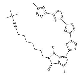 Cc1ccc(-c2ccc(-c3ccc(-c4ccc(-c5sc(C)c6c5C(=O)N(CCCCCCCC#C[Si](C)(C)C)C6=O)s4)s3)s2)s1